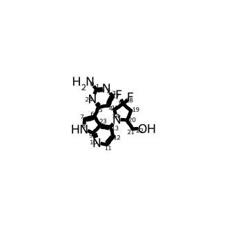 Nc1nccc(-c2c[nH]c3nccc(N4CC(F)(F)CC4CO)c23)n1